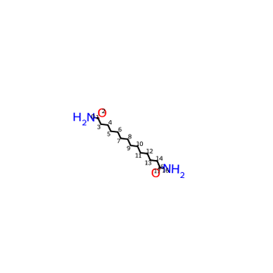 NC(=O)CCCCCCCCCCCCC(N)=O